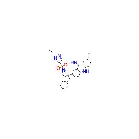 CCCn1cc(S(=O)(=O)N2CCC(CC3CCCCC3)(C3CCC(NC4CCC(F)CC4)C(C=N)C3)C2)cn1